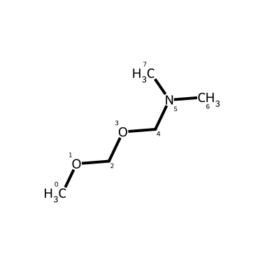 COCOCN(C)C